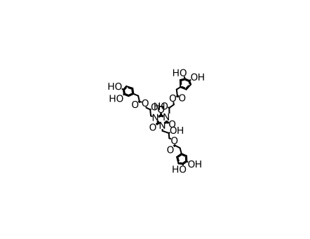 O=C(Cc1ccc(O)c(O)c1)OCC(O)Cn1c(=O)n(CC(O)COC(=O)Cc2ccc(O)c(O)c2)c(=O)n(CC(O)COC(=O)Cc2ccc(O)c(O)c2)c1=O